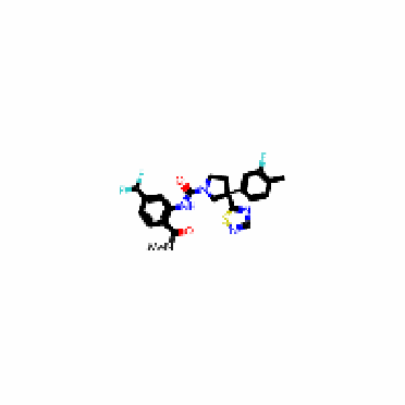 CNC(=O)c1ccc(C(F)F)cc1NC(=O)N1CC[C@](c2ccc(C)c(F)c2)(c2ncns2)C1